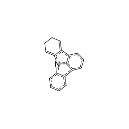 C1=c2c(n3c4ccccc4c4cccc2c43)=CCC1